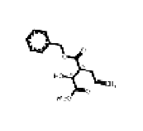 C=CC[C@H](C(=O)OCc1ccccc1)[C@H](O)C(=O)OC